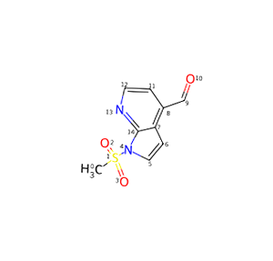 CS(=O)(=O)n1ccc2c(C=O)ccnc21